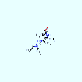 C=C(NCCN(CC)CC)c1c(C)[nH]c(C=O)c1C